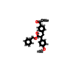 CCCCOc1ccc(C(Cc2ccc(C(=O)OC)cc2)C(=O)OCc2ccccc2)cc1